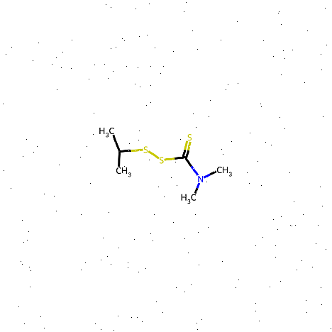 CC(C)SSC(=S)N(C)C